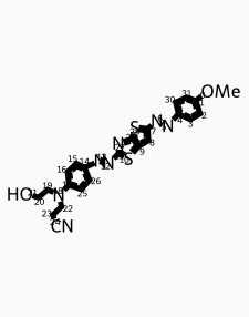 COc1ccc(N=Nc2cc3sc(N=Nc4ccc(N(CCO)CCC#N)cc4)nc3s2)cc1